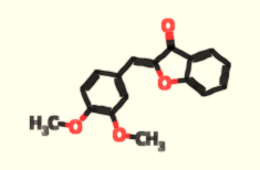 COc1ccc(/C=C2\Oc3ccccc3C2=O)cc1OC